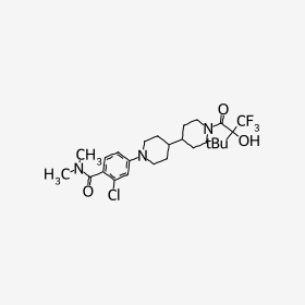 CN(C)C(=O)c1ccc(N2CCC(C3CCN(C(=O)C(O)(C(C)(C)C)C(F)(F)F)CC3)CC2)cc1Cl